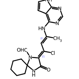 C/C(=C\C(Cl)=C1\C(=O)NC2(CCCCC2)N1C=O)Nc1ncnc2[nH]ccc12